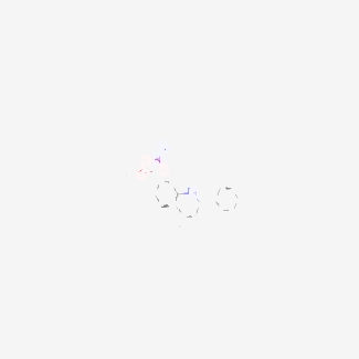 CCCOC(=O)N1C2CCCC1CN(C(=O)c1ccc3c(Cl)cc(-c4ccccc4)nc3c1)C2